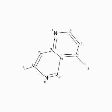 Cc1cc2nccc(I)c2cn1